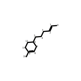 CC=CCC[CH]C1CC=C(C)CC1